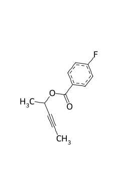 CC#CC(C)OC(=O)c1ccc(F)cc1